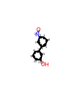 O=Nc1cccc(-c2cccc(O)c2)c1